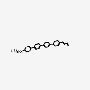 C=CCCC1=CCC(c2ccc(-c3ccc(C4CCC(CCCCCC)CC4)cc3)cc2)CC1